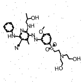 COc1ccc(S(=O)(=O)CCN(CCO)CCO)cc1/N=N/c1c(NCC(C)O)nc(Nc2ccccc2)c(C#N)c1C